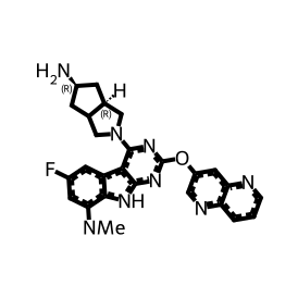 CNc1cc(F)cc2c1[nH]c1nc(Oc3cnc4cccnc4c3)nc(N3CC4C[C@@H](N)C[C@H]4C3)c12